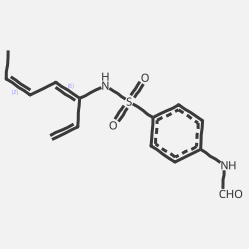 C=C/C(=C\C=C/C)NS(=O)(=O)c1ccc(NC=O)cc1